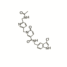 CC(=O)NCc1ccc(Cn2cc(C(=O)NCc3ccc4[nH]cc(Cl)c4c3)ccc2=O)cn1